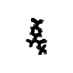 CC(C)N(C(=O)OC(C)(C)C)c1ccc([N+](=O)[O-])nc1